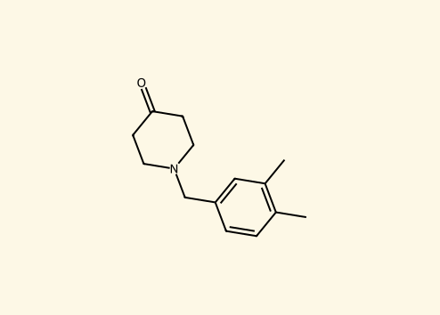 Cc1ccc(CN2CCC(=O)CC2)cc1C